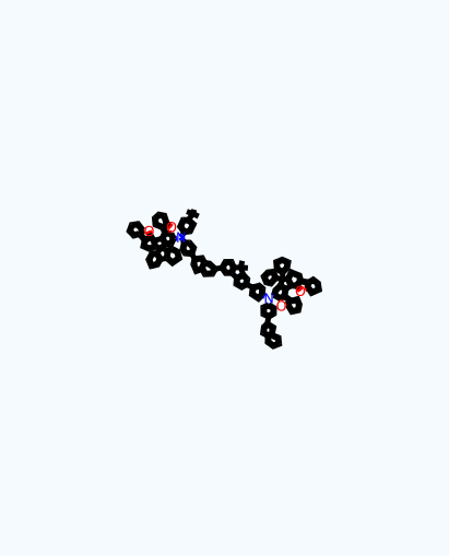 CC(C)(C)c1ccc(N(c2ccc(-c3ccc4ccc(-c5ccc6c(c5)-c5ccc(-c7ccc(N(c8ccc(-c9ccc%10ccccc%10c9)cc8)c8cc9c(c%10c8oc8ccccc8%10)-c8c(ccc%10c8oc8ccccc8%10)C9(c8ccccc8)c8ccccc8)cc7)cc5C6(C)C)cc4c3)cc2)c2cc3c(c4c2oc2ccccc24)-c2c(ccc4c2oc2ccccc24)C32c3ccccc3-c3ccccc32)cc1